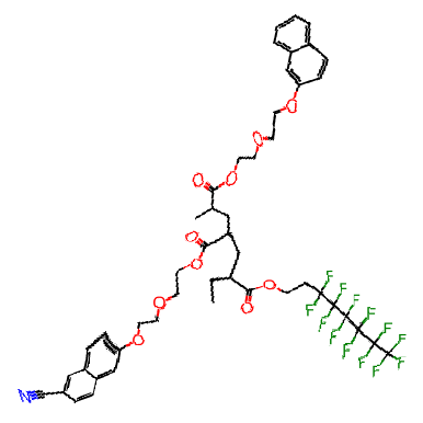 CCC(CC(CC(C)C(=O)OCCOCCOc1ccc2ccccc2c1)C(=O)OCCOCCOc1ccc2cc(C#N)ccc2c1)C(=O)OCCC(F)(F)C(F)(F)C(F)(F)C(F)(F)C(F)(F)C(F)(F)F